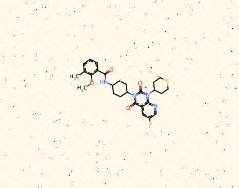 COc1c(C)cccc1C(=O)NC1CCC(n2c(=O)c3cc(F)cnc3n(C3CCSCC3)c2=O)CC1